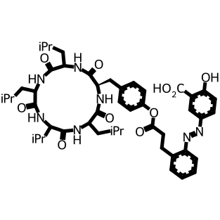 CC(C)CC1NC(=O)C(CC(C)C)NC(=O)[C@@H](Cc2ccc(OC(=O)CCc3ccccc3/N=N/c3ccc(O)c(C(=O)O)c3)cc2)NC(=O)C(CC(C)C)NC(=O)C(C(C)C)NC1=O